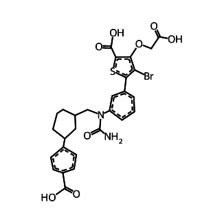 NC(=O)N(CC1CCCC(c2ccc(C(=O)O)cc2)C1)c1cccc(-c2sc(C(=O)O)c(OCC(=O)O)c2Br)c1